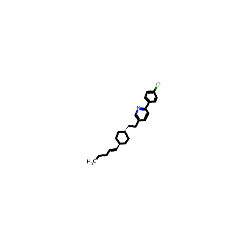 CCC/C=C/[C@H]1CC[C@H](CCc2ccc(-c3ccc(Cl)cc3)nc2)CC1